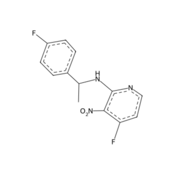 CC(Nc1nccc(F)c1[N+](=O)[O-])c1ccc(F)cc1